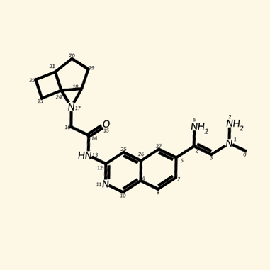 CN(N)/C=C(\N)c1ccc2cnc(NC(=O)CN3C4CCC5CCC543)cc2c1